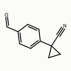 N#CC1(c2ccc(C=O)cc2)CC1